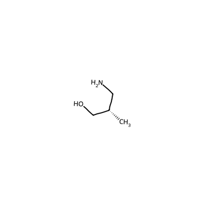 C[C@@H](CN)CO